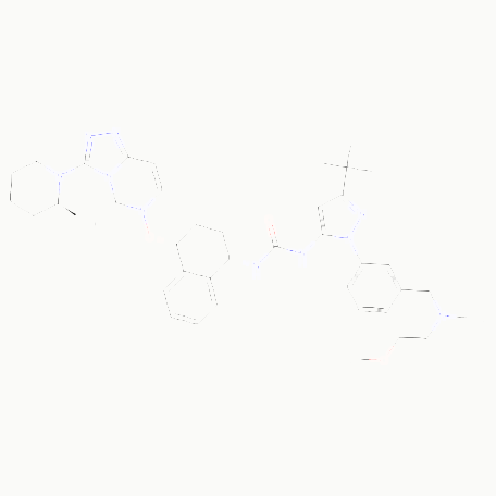 COCCN(C)Cc1cccc(-n2nc(C(C)(C)C)cc2NC(=O)N[C@H]2CC[C@@H](ON3C=Cc4nnc(N5CCCC[C@@H]5C)n4C3)c3ccccc32)c1